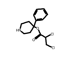 O=C(OC1(c2ccccc2)CCNCC1)C(Cl)CCl